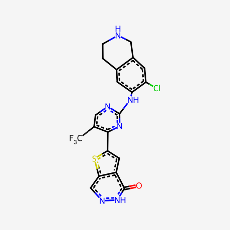 O=c1[nH]ncc2sc(-c3nc(Nc4cc5c(cc4Cl)CNCC5)ncc3C(F)(F)F)cc12